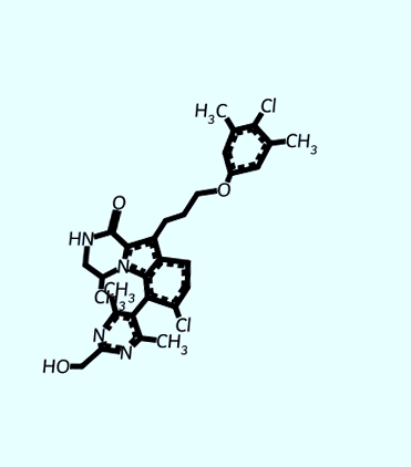 Cc1cc(OCCCc2c3n(c4c(-c5c(C)nc(CO)nc5C)c(Cl)ccc24)C(C)CNC3=O)cc(C)c1Cl